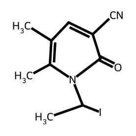 Cc1cc(C#N)c(=O)n(C(C)I)c1C